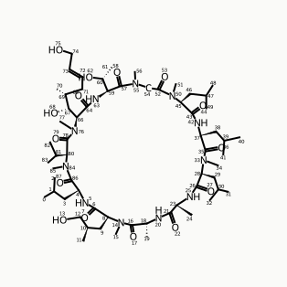 CC(C)C[C@@H]1NC(=O)[C@H](C[C@@H](C)CO)N(C)C(=O)[C@@H](C)NC(=O)[C@H](C)NC(=O)[C@H](CC(C)C)N(C)C(=O)[C@H](CC(C)C)NC(=O)[C@H](CC(C)C)N(C)C(=O)CN(C)C(=O)[C@H]([C@@H](C)O)NC(=O)[C@H]([C@H](O)[C@H](C)C/C=C/CO)N(C)C(=O)[C@H](C(C)C)N(C)C1=O